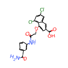 NC(=O)c1cccc(NC(=O)COc2cc(C(=O)O)cc3cc(Cl)cc(Cl)c23)c1